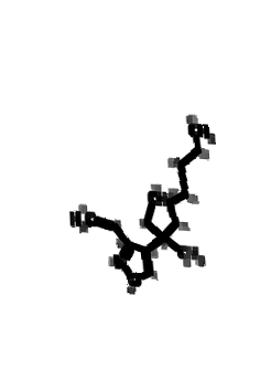 C=Cc1nocc1C(C)(CC)CCCCCC